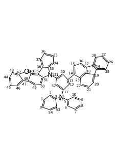 c1ccc(N(c2ccccc2)c2cc(-c3ccc4c5c(cccc35)-c3ccccc3-4)cc(-n3c4ccccc4c4c5oc6ccccc6c5ccc43)c2)cc1